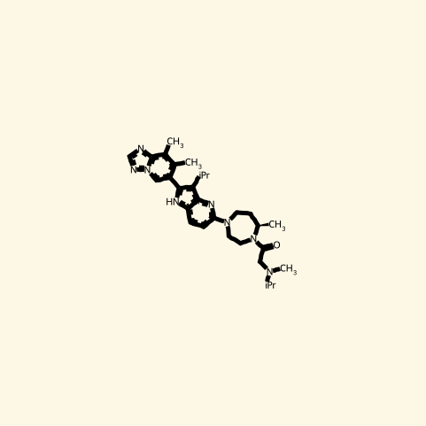 Cc1c(-c2[nH]c3ccc(N4CC[C@@H](C)N(C(=O)CN(C)C(C)C)CC4)nc3c2C(C)C)cn2ncnc2c1C